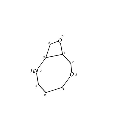 C1CNC2COC2COC1